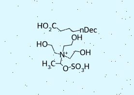 CC(OS(=O)(=O)O)[N+](CCO)(CCO)CCO.CCCCCCCCCCCCCC(=O)O